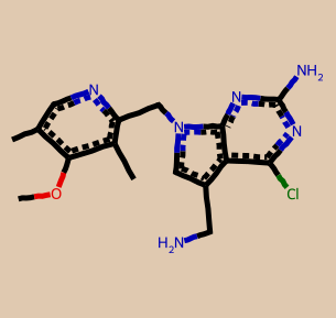 COc1c(C)cnc(Cn2cc(CN)c3c(Cl)nc(N)nc32)c1C